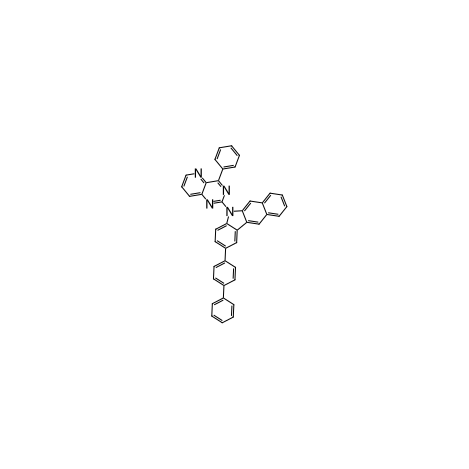 c1ccc(-c2ccc(-c3ccc4c(c3)c3cc5ccccc5cc3n4-c3nc(-c4ccccc4)c4ncccc4n3)cc2)cc1